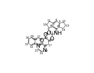 O=C(Nc1c2c(cc3c1CCC3)CCC2)OC(Cc1cnccn1)C(=O)OCc1ccccc1